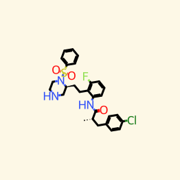 C[C@@H](Cc1ccc(Cl)cc1)C(=O)Nc1cccc(F)c1CC[C@H]1CNCCN1S(=O)(=O)c1ccccc1